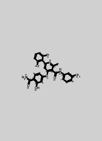 CCc1cccc(CC)c1-c1cc(Oc2ccc(C(N)=O)c(O)c2)c(C(=O)Nc2cccc(C(F)(F)F)c2)c(C)n1